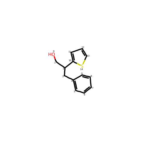 OCC(Cc1ccccc1)c1cccs1